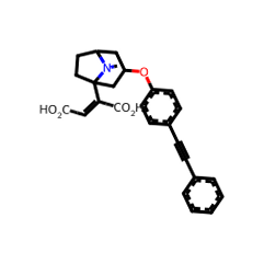 CN1C2CCC1(/C(=C\C(=O)O)C(=O)O)CC(Oc1ccc(C#Cc3ccccc3)cc1)C2